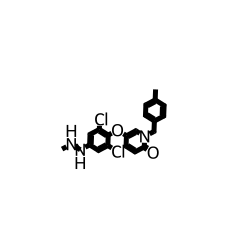 CNNc1cc(Cl)c(Oc2ccc(=O)n(Cc3ccc(C)cc3)c2)c(Cl)c1